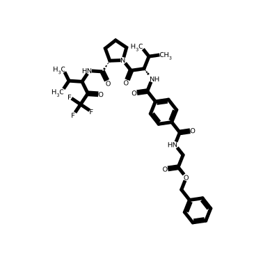 CC(C)C(NC(=O)[C@@H]1CCCN1C(=O)[C@@H](NC(=O)c1ccc(C(=O)NCC(=O)OCc2ccccc2)cc1)C(C)C)C(=O)C(F)(F)F